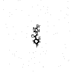 O=C(Cn1cnc(Br)n1)c1ccc(F)cc1F